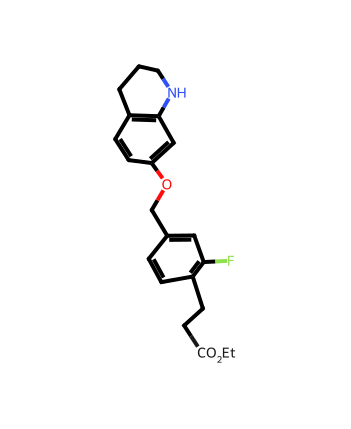 CCOC(=O)CCc1ccc(COc2ccc3c(c2)NCCC3)cc1F